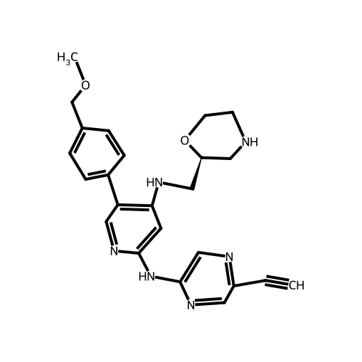 C#Cc1cnc(Nc2cc(NC[C@@H]3CNCCO3)c(-c3ccc(COC)cc3)cn2)cn1